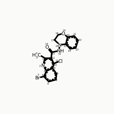 Cc1nc2c(Br)cccc2c(Cl)c1C(=O)NN1CCOc2ccccc21